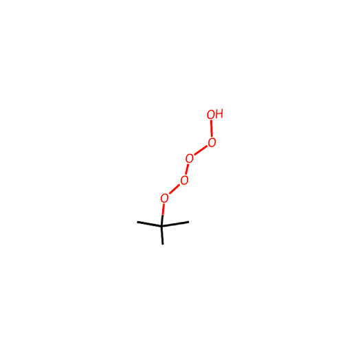 CC(C)(C)OOOOO